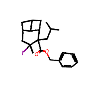 CC(C)CC1(C(=O)OCc2ccccc2)C2CC3CC(CC1(C)I)C32